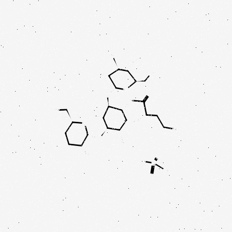 NCC[C@H](O)C(=O)N[C@@H]1C[C@H](N)[C@@H](O[C@H]2O[C@H](CN)CC[C@H]2N)[C@H](O)[C@H]1O[C@H]1O[C@H](CO)[C@@H](O)[C@H](N)[C@H]1O.O=S(=O)(O)O